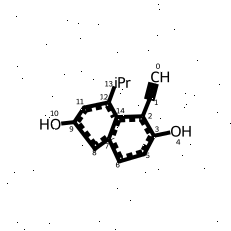 C#Cc1c(O)ccc2cc(O)cc(C(C)C)c12